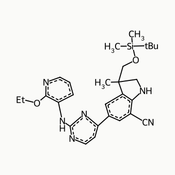 CCOc1ncccc1Nc1nccc(-c2cc(C#N)c3c(c2)C(C)(CO[Si](C)(C)C(C)(C)C)CN3)n1